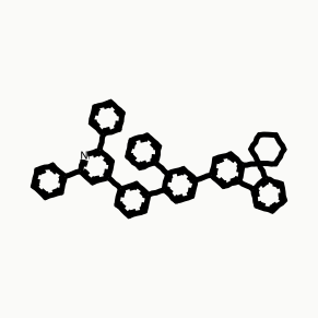 c1ccc(-c2cc(-c3cccc(-c4ccc(-c5ccc6c(c5)-c5ccccc5C65CCCCC5)cc4-c4ccccc4)c3)cc(-c3ccccc3)n2)cc1